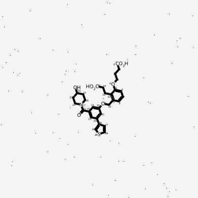 O=C(O)CCCOc1cccc(COc2cc(C(=O)N3CCC(O)CC3)cc(-c3ccsc3)c2)c1CCC(=O)O